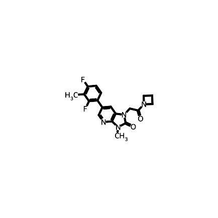 Cc1c(F)ccc(-c2cnc3c(c2)n(CC(=O)N2CCC2)c(=O)n3C)c1F